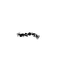 CC1CC(c2cc3cc(C(F)(F)F)ccc3o2)CCN1c1ccc(OCC2(C)Cn3cc([N+](=O)[O-])nc3O2)cc1